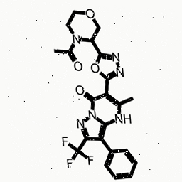 CC(=O)N1CCOCC1c1nnc(-c2c(C)[nH]c3c(-c4ccccc4)c(C(F)(F)F)nn3c2=O)o1